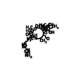 CCO[C@@H](O[C@H]1[C@@H](CC=O)C[C@@H](C)CN[C@H](C)[C@H]2N(CCCCn3cc(-c4nnc(N)s4)nn3)C(=O)O[C@]2(C)[C@@H](CC)OC(=O)[C@H](C)C(=O)[C@@H]1C)C(O)C(CC)N(C)C